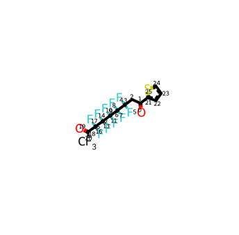 O=C(CC(F)(F)C(F)(F)C(F)(F)C(F)(F)C(F)(F)C(=O)C(F)(F)F)c1cccs1